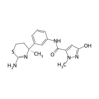 Cn1nc(O)cc1C(=O)Nc1cccc([C@]2(C)CCSC(N)=N2)c1